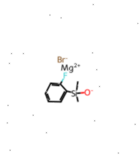 C[Si](C)([O-])c1ccccc1F.[Br-].[Mg+2]